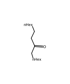 CCCCCCCCC(=O)CCCCCCC